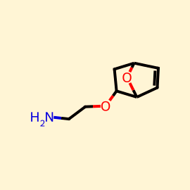 NCCOC1CC2C=CC1O2